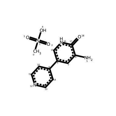 CS(=O)(=O)O.Nc1cc(-c2ccncc2)c[nH]c1=O